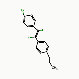 CCCc1ccc(C(F)=C(F)c2ccc(Br)cc2)cc1